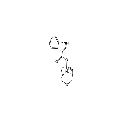 CN1C2CSCC1CC(OC(=O)c1c[nH]c3ccccc13)C2